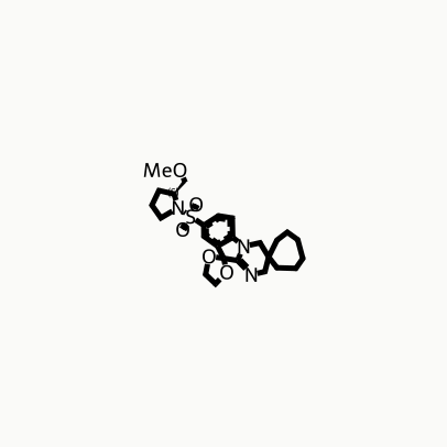 COC[C@@H]1CCCN1S(=O)(=O)c1ccc2c(c1)C1(OCCO1)C1=NCC3(CCCCCC3)CN12